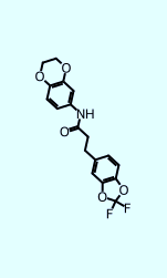 O=C(CCc1ccc2c(c1)OC(F)(F)O2)Nc1ccc2c(c1)OCCO2